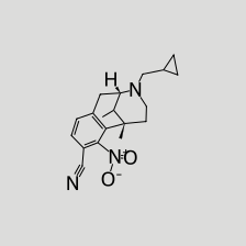 CC1[C@@H]2Cc3ccc(C#N)c([N+](=O)[O-])c3[C@@]1(C)CCN2CC1CC1